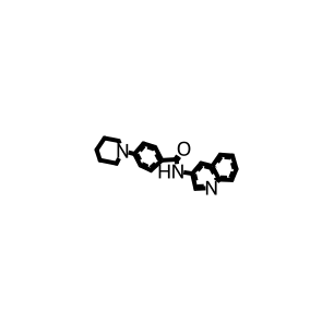 O=C(Nc1cnc2ccccc2c1)c1ccc(N2CCCCC2)cc1